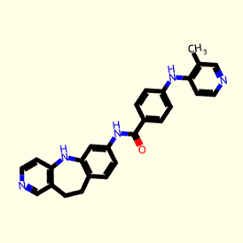 Cc1cnccc1Nc1ccc(C(=O)Nc2ccc3c(c2)Nc2ccncc2CC3)cc1